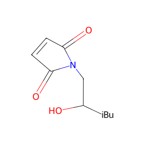 CCC(C)C(O)CN1C(=O)C=CC1=O